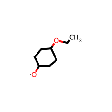 CCOC1CCC([O])CC1